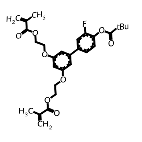 C=C(C)C(=O)OCCOc1cc(OCCOC(=O)C(=C)C)cc(-c2ccc(OC(=O)C(C)(C)C)c(F)c2)c1